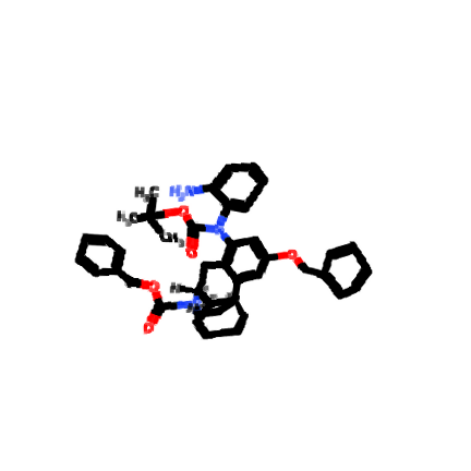 CC(C)(C)OC(=O)N(c1ccccc1N)c1cc(OCc2ccccc2)cc2c1C[C@@H]1[C@@H]3CCCC[C@]23CCN1C(=O)OCc1ccccc1